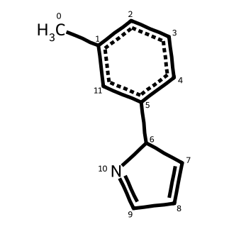 Cc1cccc(C2C=CC=N2)c1